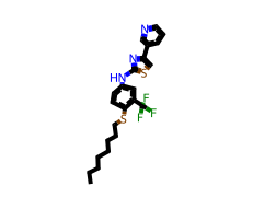 CCCCCCCCSc1ccc(Nc2nc(-c3cccnc3)cs2)cc1C(F)(F)F